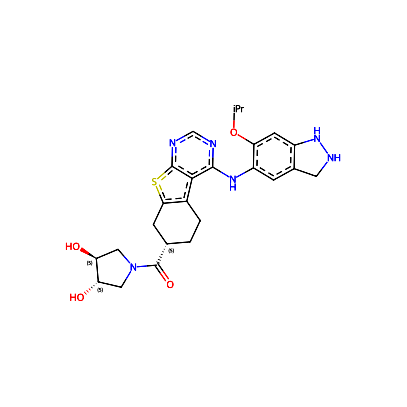 CC(C)Oc1cc2c(cc1Nc1ncnc3sc4c(c13)CC[C@H](C(=O)N1C[C@H](O)[C@@H](O)C1)C4)CNN2